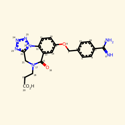 N=C(N)c1ccc(COc2ccc3c(c2)C(=O)N(CCC(=O)O)Cc2nnnn2-3)cc1